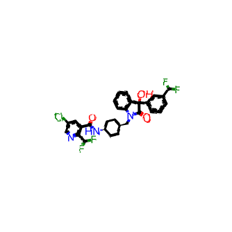 O=C(N[C@H]1CC[C@H](CN2C(=O)C(O)(c3cccc(C(F)F)c3)c3ccccc32)CC1)c1cc(Cl)cnc1C(F)F